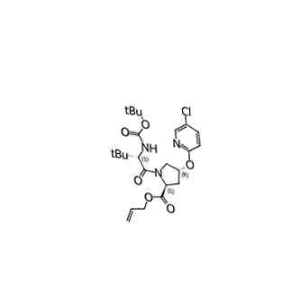 C=CCOC(=O)[C@@H]1C[C@@H](Oc2ccc(Cl)cn2)CN1C(=O)[C@@H](NC(=O)OC(C)(C)C)C(C)(C)C